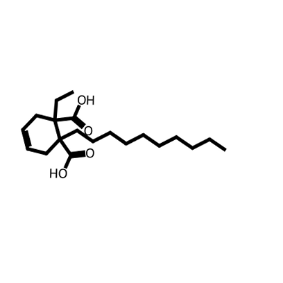 CCCCCCCCCCC1(C(=O)O)CC=CCC1(CC)C(=O)O